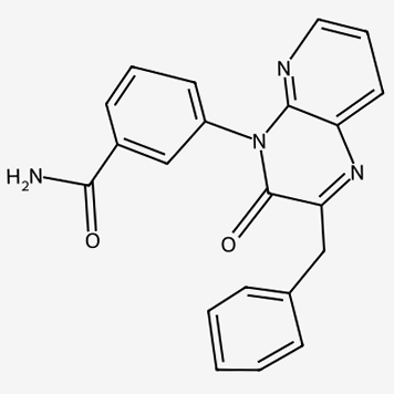 NC(=O)c1cccc(-n2c(=O)c(Cc3ccccc3)nc3cccnc32)c1